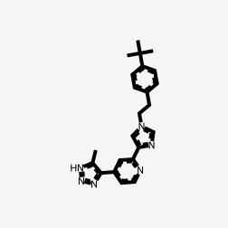 Cc1[nH]nnc1-c1ccnc(-c2cn(CCc3ccc(C(C)(C)C)cc3)cn2)c1